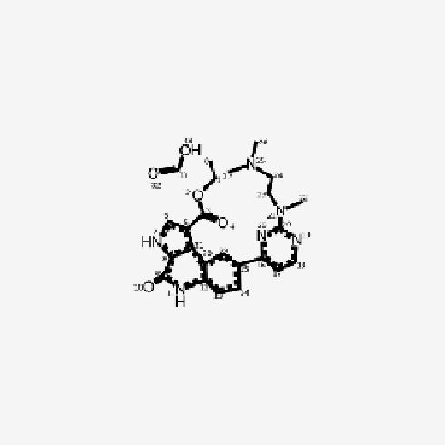 CCOC(=O)c1c[nH]c2c(=O)[nH]c3ccc(-c4ccnc(N(C)CCN(C)C)n4)cc3c12.O=CO